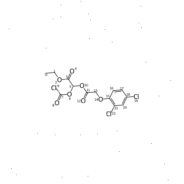 CCOC(=O)C(OC(=O)Cl)OC(=O)COc1ccc(Cl)cc1Cl